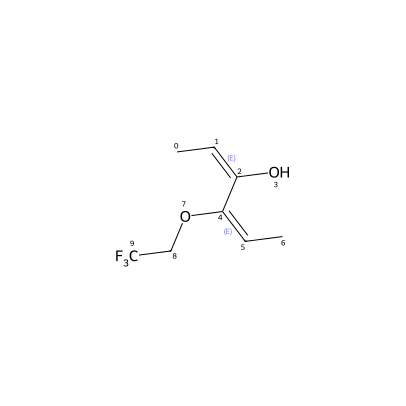 C/C=C(O)\C(=C/C)OCC(F)(F)F